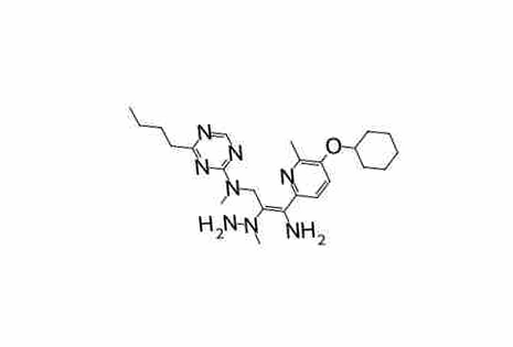 CCCCc1ncnc(N(C)C/C(=C(/N)c2ccc(OC3CCCCC3)c(C)n2)N(C)N)n1